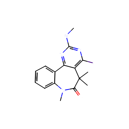 CNc1nc(I)c2c(n1)-c1ccccc1N(C)C(=O)C2(C)C